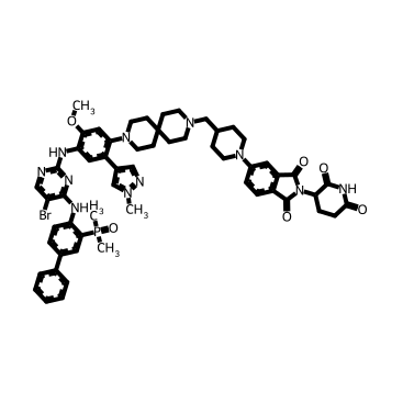 COc1cc(N2CCC3(CCN(CC4CCN(c5ccc6c(c5)C(=O)N(C5CCC(=O)NC5=O)C6=O)CC4)CC3)CC2)c(-c2cnn(C)c2)cc1Nc1ncc(Br)c(Nc2ccc(-c3ccccc3)cc2P(C)(C)=O)n1